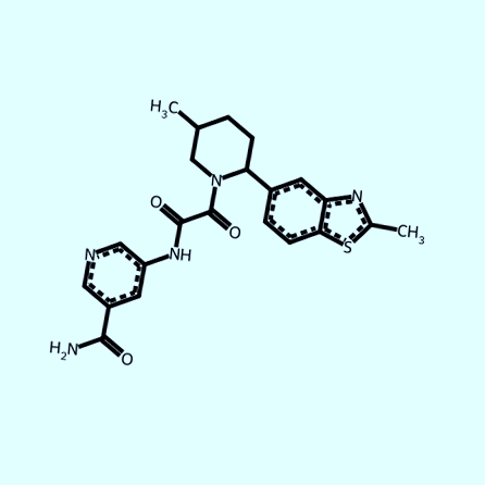 Cc1nc2cc(C3CCC(C)CN3C(=O)C(=O)Nc3cncc(C(N)=O)c3)ccc2s1